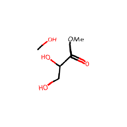 CO.COC(=O)C(O)CO